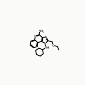 CCOCc1nc2c(N)nc3ccccc3c2n1NC1CCCCC1